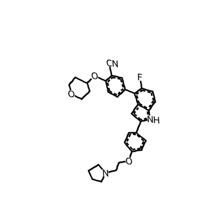 N#Cc1cc(-c2c(F)ccc3[nH]c(-c4ccc(OCCN5CCCC5)cc4)cc23)ccc1OC1CCOCC1